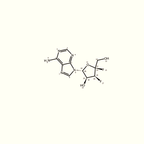 Nc1ncnc2c1ncn2[C@@H]1O[C@](F)(CO)[C@@H](F)[C@H]1O